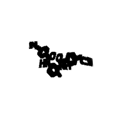 Cc1ccc(NC(=O)c2ccc(C#N)cc2)cc1NC(=O)c1ccc(CCl)cc1